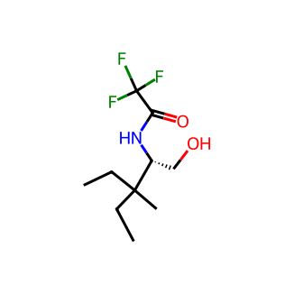 CCC(C)(CC)[C@@H](CO)NC(=O)C(F)(F)F